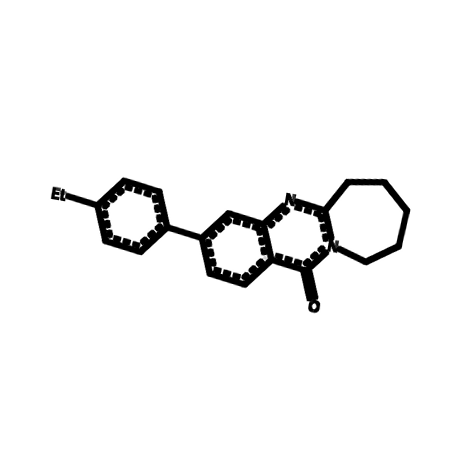 CCc1ccc(-c2ccc3c(=O)n4c(nc3c2)CCCCC4)cc1